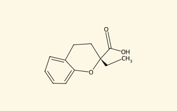 CC[C@]1(C(=O)O)CCc2ccccc2O1